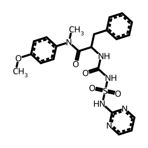 COc1ccc(N(C)C(=O)C(Cc2ccccc2)NC(=O)NS(=O)(=O)Nc2ncccn2)cc1